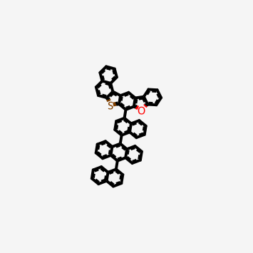 c1ccc2c(-c3c4ccccc4c(-c4ccc(-c5c6oc7ccccc7c6cc6c5sc5ccc7ccccc7c56)c5ccccc45)c4ccccc34)cccc2c1